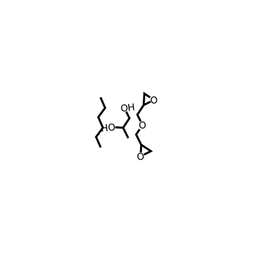 C(OCC1CO1)C1CO1.CC(O)CO.CCCCCC